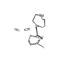 Cc1cccc(N2CCNCC2)n1.Cl.Cl